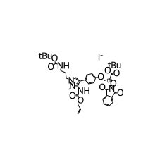 C=CCOC(=O)Nc1c(-c2ccc(OC[C@H](ON3C(=O)c4ccccc4C3=O)C(=O)OC(C)(C)C)cc2)cn(CCCNC(=O)OC(C)(C)C)[n+]1C.[I-]